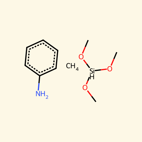 C.CO[SiH](OC)OC.Nc1ccccc1